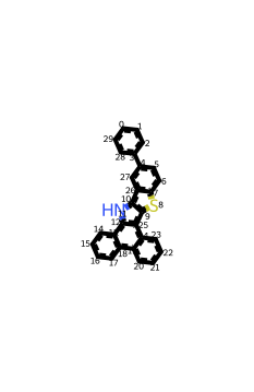 c1ccc(-c2ccc3sc4c([nH]c5c6ccccc6c6ccccc6c54)c3c2)cc1